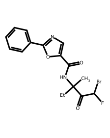 CCC(C)(NC(=O)c1cnc(-c2ccccc2)o1)C(=O)C(F)Br